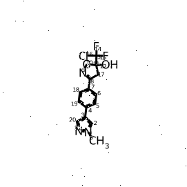 Cn1cc(-c2ccc(C3=NOC(O)(C(F)(F)Cl)C3)cc2)cn1